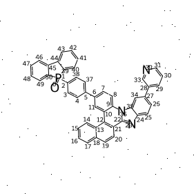 O=P1(c2ccc(-c3ccc4c(c3)c3c5ccccc5ccc3c3nc5ccc(-c6cccnc6)cc5n43)cc2)c2ccccc2-c2ccccc21